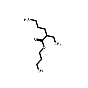 CCCCC(CC)C(=O)OCCCO